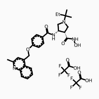 CCC(C)(C)N1C[C@H](C(=O)NO)[C@H](NC(=O)c2ccc(OCc3cc(C)nc4ccccc34)cc2)C1.O=C(O)C(F)(F)F.O=C(O)C(F)(F)F